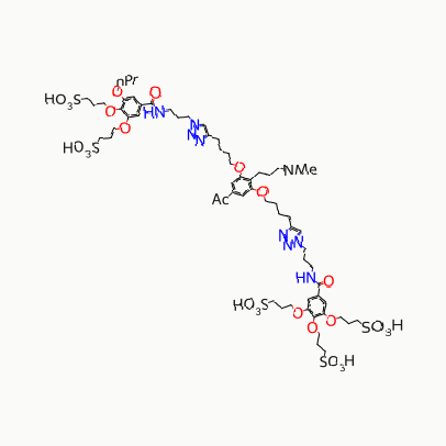 CCCOc1cc(C(=O)NCCCn2cc(CCCCOc3cc(C(C)=O)cc(OCCCCc4cn(CCCNC(=O)c5cc(OCCCS(=O)(=O)O)c(OCCCS(=O)(=O)O)c(OCCCS(=O)(=O)O)c5)nn4)c3CCCNC)nn2)cc(OCCCS(=O)(=O)O)c1OCCCS(=O)(=O)O